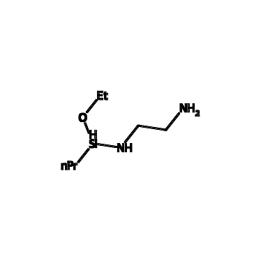 CCC[SiH](NCCN)OCC